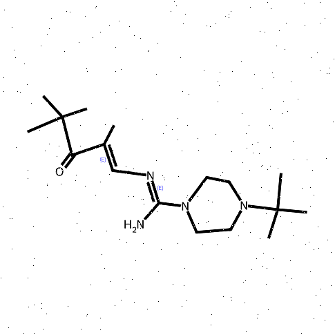 C/C(=C\N=C(/N)N1CCN(C(C)(C)C)CC1)C(=O)C(C)(C)C